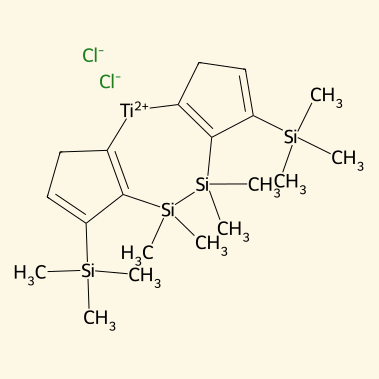 C[Si](C)(C)C1=CC[C]2=C1[Si](C)(C)[Si](C)(C)C1=[C](CC=C1[Si](C)(C)C)[Ti+2]2.[Cl-].[Cl-]